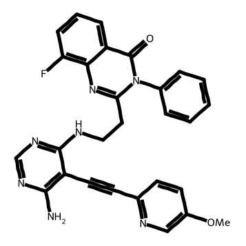 COc1ccc(C#Cc2c(N)ncnc2NCCc2nc3c(F)cccc3c(=O)n2-c2ccccc2)nc1